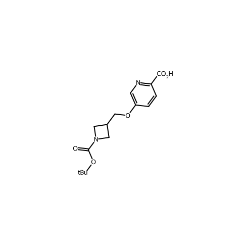 CC(C)(C)OC(=O)N1CC(COc2ccc(C(=O)O)nc2)C1